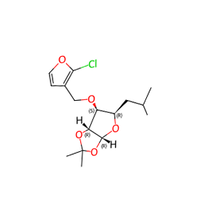 CC(C)C[C@H]1O[C@@H]2OC(C)(C)O[C@@H]2[C@H]1OCc1ccoc1Cl